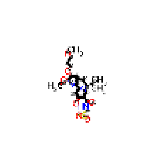 COCCCOc1cc2c(nc1OC)-c1cc(=O)c(C(=O)NC[SH](=O)=O)cn1[C@H](C(C)C)C2